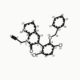 C#CCn1c(=O)c(-c2c(Cl)ccc(Cl)c2OCc2ccccc2)[c]c2cccnc21